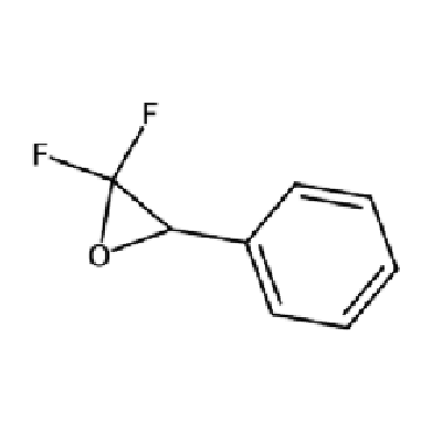 FC1(F)OC1c1ccccc1